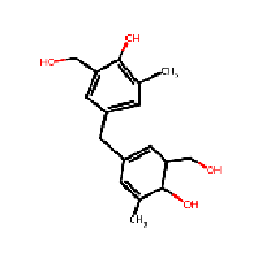 CC1=CC(Cc2cc(C)c(O)c(CO)c2)=CC(CO)C1O